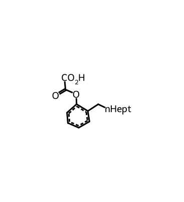 CCCCCCCCc1ccccc1OC(=O)C(=O)O